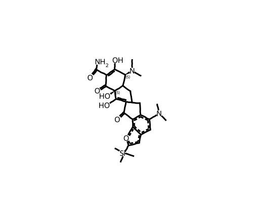 CN(C)c1cc2cc([Si](C)(C)C)oc2c2c1CC1CC3[C@H](N(C)C)C(O)=C(C(N)=O)C(=O)[C@@]3(O)C(O)=C1C2=O